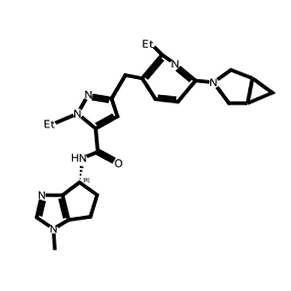 CCc1nc(N2CC3CC3C2)ccc1Cc1cc(C(=O)N[C@@H]2CCc3c2ncn3C)n(CC)n1